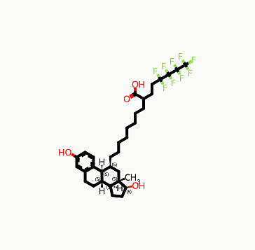 C[C@]12C[C@H](CCCCCCCCC(CCC(F)(F)C(F)(F)C(F)(F)C(F)(F)F)C(=O)O)[C@@H]3c4ccc(O)cc4CC[C@H]3[C@@H]1CC[C@@H]2O